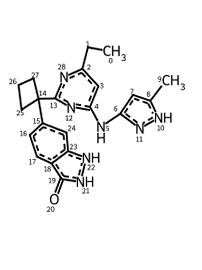 CCc1cc(Nc2cc(C)[nH]n2)nc(C2(c3ccc4c(=O)[nH][nH]c4c3)CCC2)n1